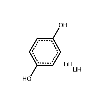 Oc1ccc(O)cc1.[LiH].[LiH]